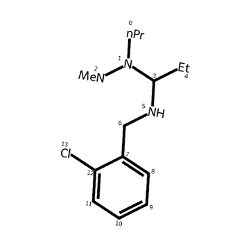 CCCN(NC)C(CC)NCc1ccccc1Cl